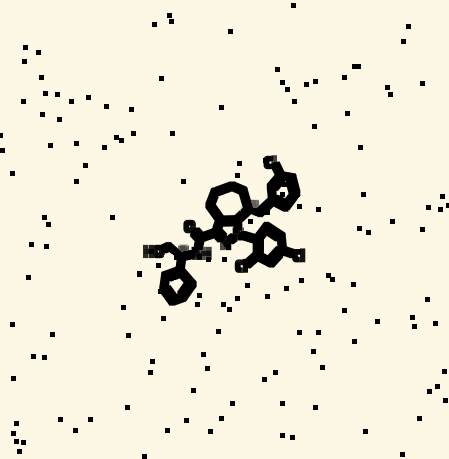 O=C(N[C@H](CO)c1ccccc1)c1nn(-c2ccc(Cl)cc2Cl)c2c1CCCC[C@H]2Cc1cccc(Cl)c1